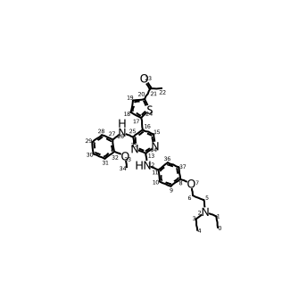 CCN(CC)CCOc1ccc(Nc2ncc(-c3ccc(C(C)=O)s3)c(Nc3ccccc3OC)n2)cc1